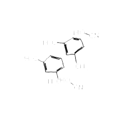 Cc1cccc(C)c1.Cc1cccc(C)c1.N#CO.N#CO